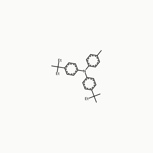 CCC(C)(C)c1ccc(N(c2ccc(C)cc2)c2ccc(C(C)(CC)CC)cc2)cc1